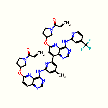 C=CC(=O)N1CC[C@H](Oc2ccc3ncnc(Nc4cc(C)cc(-c5cc(O[C@H]6CCN(C(=O)C=C)C6)nc6c(Nc7cc(C(F)(F)F)ccn7)ncnc56)n4)c3n2)C1